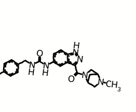 CN1CC2CC1CN2C(=O)c1n[nH]c2ccc(NC(=O)NCc3ccc(F)cc3)cc12